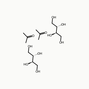 CC(C)=O.CC(C)=O.OC[C@@H](O)[C@@H](O)CO.OC[C@@H](O)[C@@H](O)CO